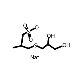 CC(CSCC(O)CO)CS(=O)(=O)[O-].[Na+]